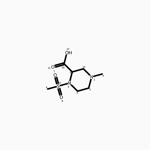 CN1CCN(S(C)(=O)=O)C(C(=O)O)C1